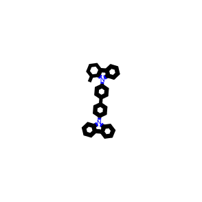 CC1CCCc2c1n(-c1ccc(-c3ccc(-n4c5ccccc5c5ccccc54)cc3)cc1)c1ccccc21